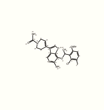 COc1ccc(F)c(Cl)c1C(C)Oc1c(N)ncc2c(C3=CCN(C(N)=O)CC3)coc12